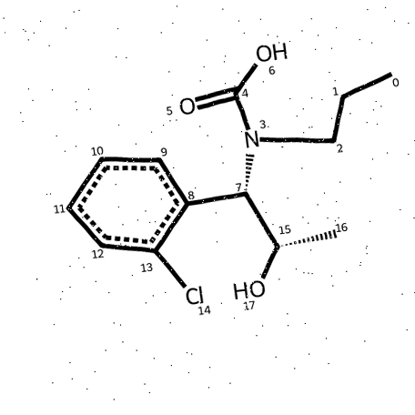 CCCN(C(=O)O)[C@@H](c1ccccc1Cl)[C@H](C)O